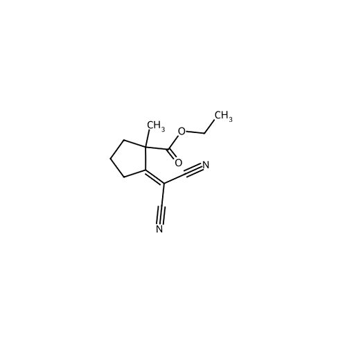 CCOC(=O)C1(C)CCCC1=C(C#N)C#N